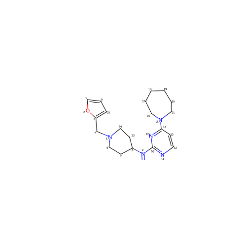 c1coc(CN2CCC(Nc3nccc(N4CCCCCC4)n3)CC2)c1